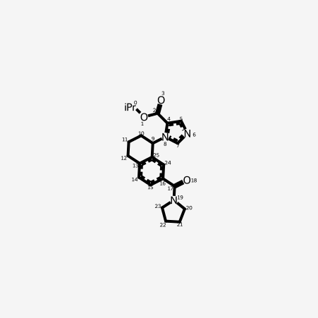 CC(C)OC(=O)c1cncn1C1CCCc2ccc(C(=O)N3CCCC3)cc21